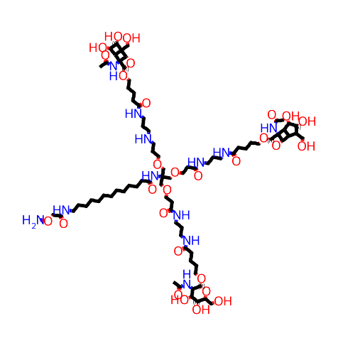 CC(=O)NC1C(O)[C@@H](O)C(CO)O[C@H]1OCCCCC(=O)NCCCNC(=O)CCOCC(COCCCNCCCNC(=O)CCCCO[C@@H]1OC2C3(CO)C(C(O)[C@H]3O)C21NC(C)=O)(COCCC(=O)NCCCNC(=O)CCCCO[C@@H]1OC2C3C(CO)[C@H](O)C(O)C3C21NC(C)=O)NC(=O)CCCCCCCCCCCCNC(=O)CON